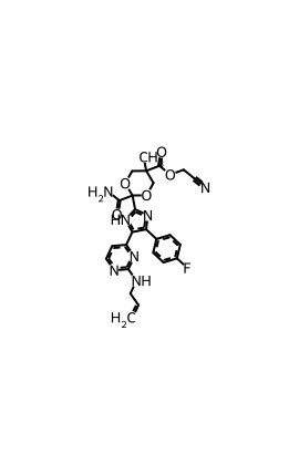 C=CCNc1nccc(-c2[nH]c(C3(C(N)=O)OCC(C)(C(=O)OCC#N)CO3)nc2-c2ccc(F)cc2)n1